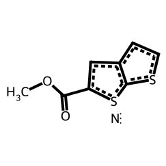 COC(=O)c1cc2ccsc2s1.[N]